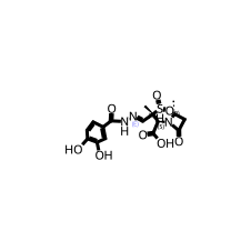 C[C@@H]1CC(=O)N1[C@@H](C(=O)O)[C@](C)(/C=N/NC(=O)c1ccc(O)c(O)c1)[SH](=O)=O